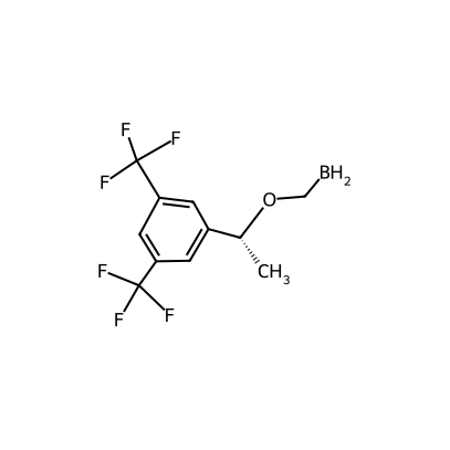 BCO[C@H](C)c1cc(C(F)(F)F)cc(C(F)(F)F)c1